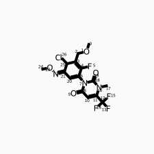 COCC1=C(F)C(n2c(=O)cc(C(F)(F)F)n(C)c2=O)=CC(=NOC)C1Cl